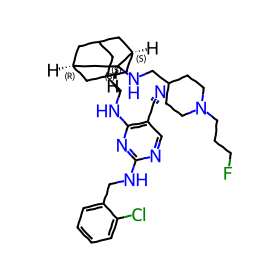 N#Cc1cnc(NCc2ccccc2Cl)nc1NC[C@]12CC3C[C@H](C1)[C@@H](NCC1CCN(CCCF)CC1)[C@@H](C3)C2